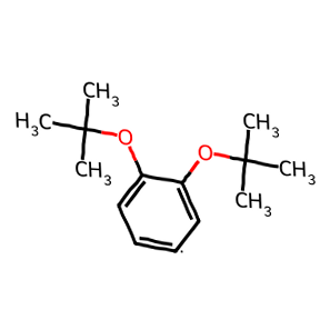 CC(C)(C)Oc1c[c]ccc1OC(C)(C)C